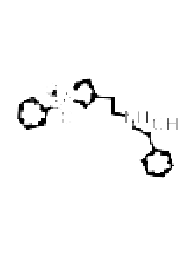 O=S(=O)(c1ccccc1)n1ccc(CCNCC(O)c2ccccc2)c1